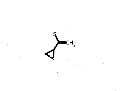 C=C([S])C1CC1